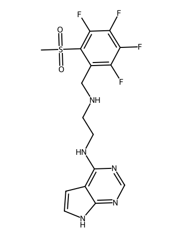 CS(=O)(=O)c1c(F)c(F)c(F)c(F)c1CNCCNc1ncnc2[nH]ccc12